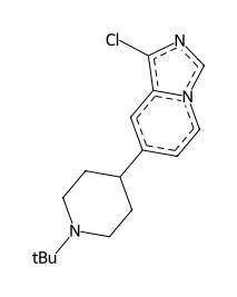 CC(C)(C)N1CCC(c2ccn3cnc(Cl)c3c2)CC1